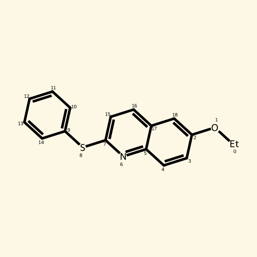 CCOc1ccc2nc(Sc3ccccc3)ccc2c1